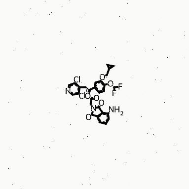 Nc1cccc2c1C(=O)N(CC(=O)O[C@@H](Cc1c(Cl)cncc1Cl)c1ccc(OC(F)F)c(OCC3CC3)c1)C2=O